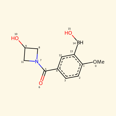 COc1ccc(C(=O)N2CC(O)C2)cc1BO